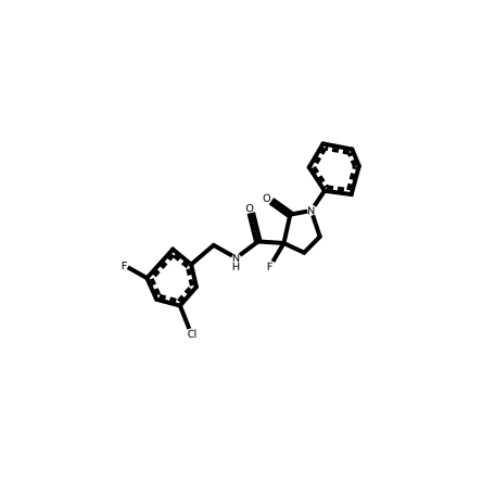 O=C(NCc1cc(F)cc(Cl)c1)C1(F)CCN(c2ccccc2)C1=O